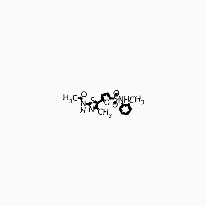 CC(=O)Nc1nc(C)c(-c2ccc(S(=O)(=O)Nc3ccccc3C)o2)s1